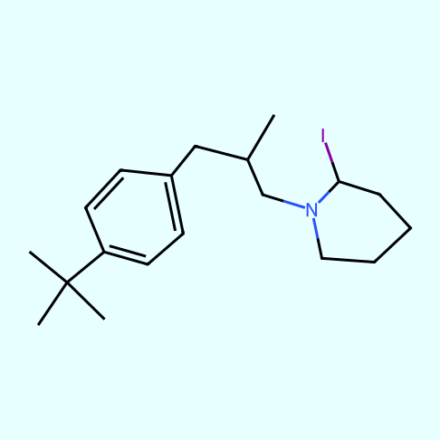 CC(Cc1ccc(C(C)(C)C)cc1)CN1CCCCC1I